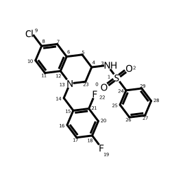 O=S(=O)(NC1Cc2cc(Cl)ccc2N(Cc2ccc(F)cc2F)C1)c1ccccc1